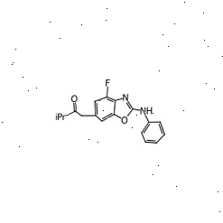 CC(C)C(=O)Cc1cc(F)c2nc(Nc3ccccc3)oc2c1